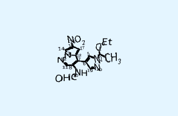 CCOC(C)n1cc(-c2c(NC=O)cnn3cc([N+](=O)[O-])cc23)cn1